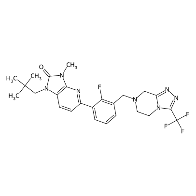 Cn1c(=O)n(CC(C)(C)C)c2ccc(-c3cccc(CN4CCn5c(nnc5C(F)(F)F)C4)c3F)nc21